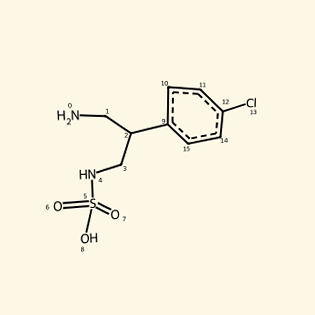 NCC(CNS(=O)(=O)O)c1ccc(Cl)cc1